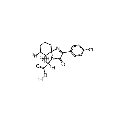 [2H]OC(=O)C([2H])([2H])N1C(=O)C(c2ccc(Cl)cc2)=NC12CCCC([2H])C2([2H])[2H]